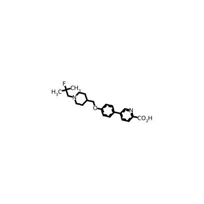 CC(C)(F)CN1CCC(COc2ccc(-c3ccc(C(=O)O)nc3)cc2)CC1